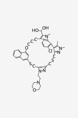 Cc1c2c(nn1C)CSCc1cc(n(CCN3CCOCC3)n1)CSc1cc(c3ccccc3c1)OCCCc1c(C(O)O)n(C)c3c-2c(Cl)ccc13